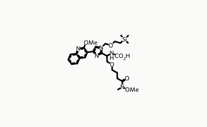 COc1nc2ccccc2cc1-c1cn(COCC[Si](C)(C)C)c(C(COCCCC(=O)N(C)OC)NC(=O)O)n1